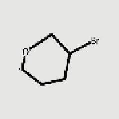 BrC1CC[CH]OC1